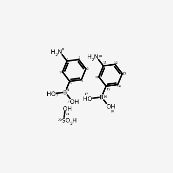 Nc1cccc(B(O)O)c1.Nc1cccc(B(O)O)c1.O=S(=O)(O)O